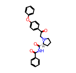 O=C(CN1CCC[C@@H]1C(=O)NC(=O)c1ccccc1)c1ccc(Oc2ccccc2)cc1